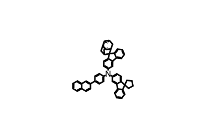 c1ccc2c(c1)-c1cc(N(c3ccc(-c4ccc5ccccc5c4)cc3)c3ccc4c(c3)-c3ccccc3C43C4CCC5CC(C4)CC3C5)ccc1C21CCCC1